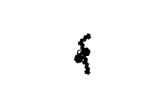 CC(C)=CCC/C(C)=C/Cc1ccccc1Oc1ccccc1C/C=C(\C)CCC=C(C)C